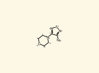 [2H]c1nsnc1N1CCOCC1